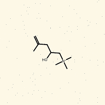 C=C(C)CC(O)C[N+](C)(C)C